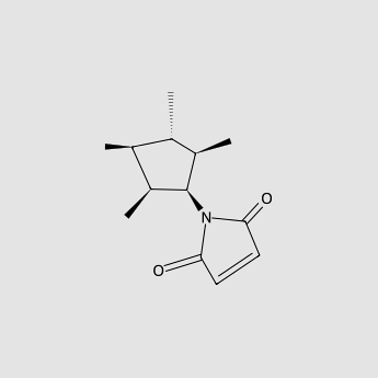 C[C@H]1[C@H](C)[C@H](C)[C@H](N2C(=O)C=CC2=O)[C@@H]1C